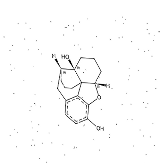 Oc1ccc2c3c1O[C@H]1CCC[C@@]4(O)[C@H](CCCC314)C2